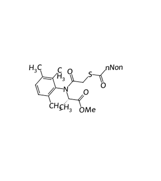 CCCCCCCCCC(=O)SCC(=O)N(c1c(C)ccc(C)c1C)[C@@H](C)C(=O)OC